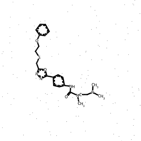 CN(C)CCN(C)C(=O)Nc1ccc(-c2nnc(CSCCOc3ccccc3)o2)cc1